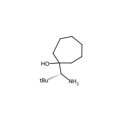 CC(C)(C)[C@@H](N)C1(O)CCCCCC1